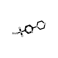 CNS(=O)(=O)c1ccc(N2CCOCC2)nc1